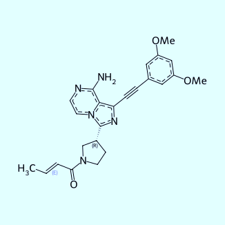 C/C=C/C(=O)N1CC[C@@H](c2nc(C#Cc3cc(OC)cc(OC)c3)c3c(N)nccn23)C1